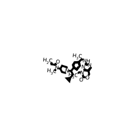 C=CC(=O)N(C)C1CCN(C(CC2CC2)c2ccc([C@H](C)Nc3ncc4c(n3)N(CC)C(=O)OC4)cc2)CC1